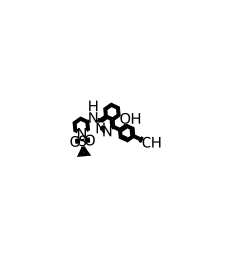 C#Cc1ccc(-c2nnc(N[C@@H]3CCCN(S(=O)(=O)C4CC4)C3)c3c2CCCC3)c(O)c1